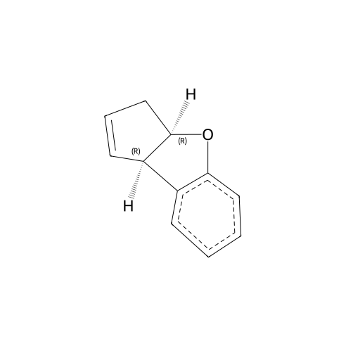 C1=C[C@@H]2c3ccccc3O[C@@H]2C1